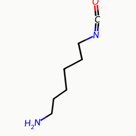 NCCCCCCN=C=O